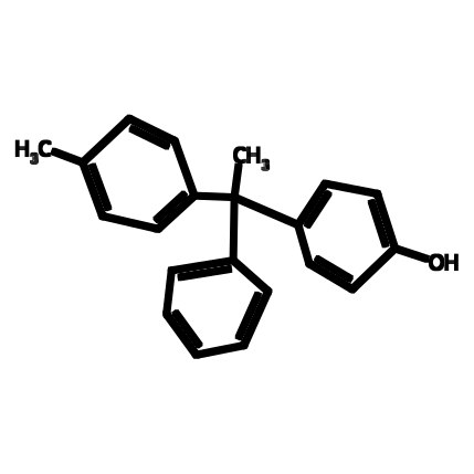 Cc1ccc(C(C)(c2ccccc2)c2ccc(O)cc2)cc1